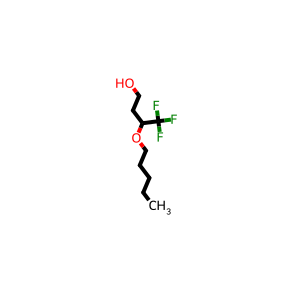 CCCCCOC(CCO)C(F)(F)F